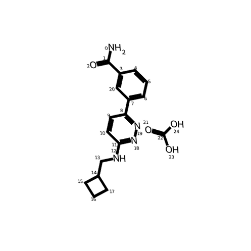 NC(=O)c1cccc(-c2ccc(NCC3CCC3)nn2)c1.O=C(O)O